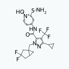 NSc1cc(NC(=O)c2c(C(F)(F)F)c(C3CC3)nn2CC23CC2CC(F)(F)C3)cc[n+]1O